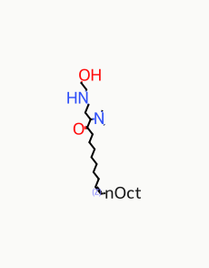 CCCCCCCC/C=C\CCCCCCCC(=O)C(CCNCCO)N(C)C